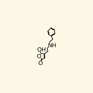 O=C1C=C(CCNCCc2ccccc2)C(O)O1